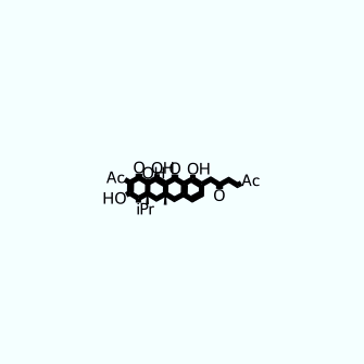 CC(=O)CCC(=O)Cc1ccc2c(c1O)C(=O)C1=C(O)[C@@]3(O)C(=O)C(C(C)=O)=C(O)C(C(C)C)[C@@]3(C)C[C@@]1(C)C2